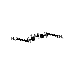 CCCCCCCCc1cnc(-c2ccc(OC(=O)[C@@H](C)Oc3ccc(-c4ncc(CCCCCCCC)cn4)cc3)cc2)nc1